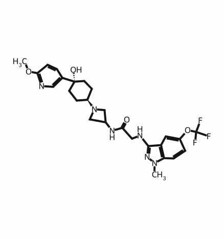 COc1ccc([C@]2(O)CC[C@H](N3CC(NC(=O)CNc4nn(C)c5ccc(OC(F)(F)F)cc45)C3)CC2)cn1